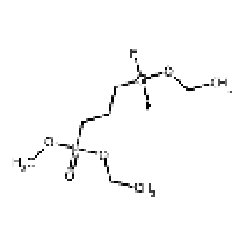 CCO[Si](F)(F)CCCP(=O)(OC)OCC